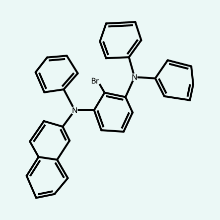 Brc1c(N(c2ccccc2)c2ccccc2)cccc1N(c1ccccc1)c1ccc2ccccc2c1